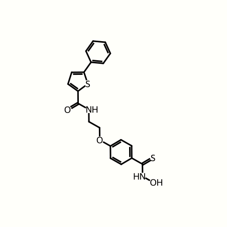 O=C(NCCOc1ccc(C(=S)NO)cc1)c1ccc(-c2ccccc2)s1